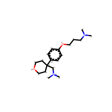 CN(C)CCCOc1ccc(C2(CN(C)C)CCOCC2)cc1